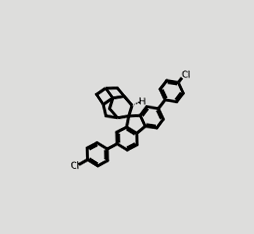 Clc1ccc(-c2ccc3c(c2)C2(c4cc(-c5ccc(Cl)cc5)ccc4-3)C3CC4CC5C[C@@H]2CC45C3)cc1